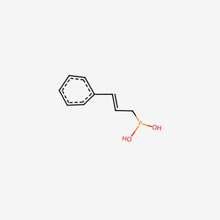 OP(O)C/C=C/c1ccccc1